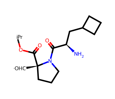 CC(C)OC(=O)[C@@]1([C]=O)CCCN1C(=O)[C@H](N)CC1CCC1